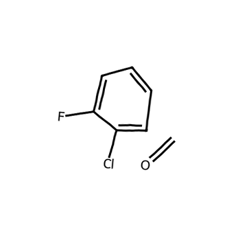 C=O.Fc1ccccc1Cl